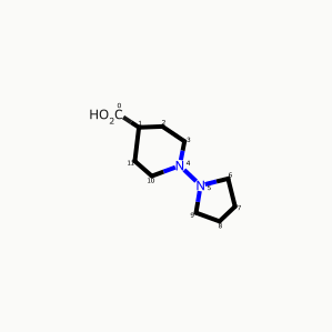 O=C(O)C1CCN(N2CCCC2)CC1